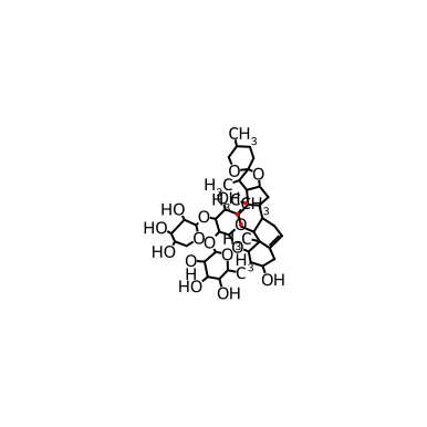 CC1CCC2(OC1)OC1CC3C4CC=C5CC(O)CC(OC6OC(C)C(O)C(OC7OCC(O)C(O)C7O)C6OC6OC(C)C(O)C(O)C6O)C5(C)C4CCC3(C)C1C2C